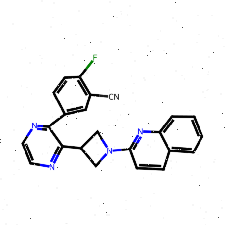 N#Cc1cc(-c2nccnc2C2CN(c3ccc4ccccc4n3)C2)ccc1F